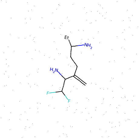 C=C(CCC(N)CC)C(N)C(F)F